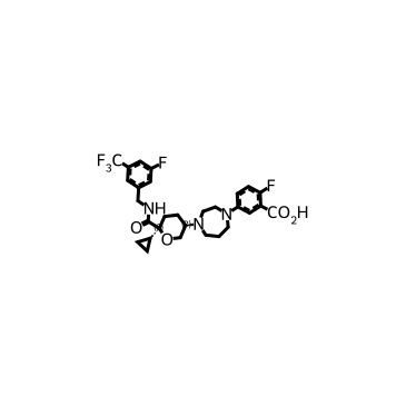 O=C(O)c1cc(N2CCCN([C@@H]3CC[C@@](C(=O)NCc4cc(F)cc(C(F)(F)F)c4)(C4CC4)OC3)CC2)ccc1F